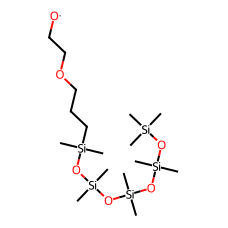 C[Si](C)(C)O[Si](C)(C)O[Si](C)(C)O[Si](C)(C)O[Si](C)(C)CCCOCC[O]